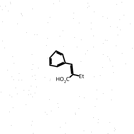 CCC(=Cc1ccccc1)C(=O)O